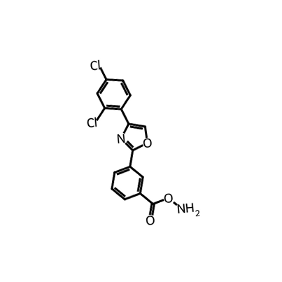 NOC(=O)c1cccc(-c2nc(-c3ccc(Cl)cc3Cl)co2)c1